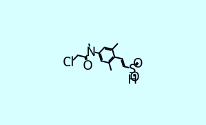 Cc1cc(N(C)C(=O)CCl)cc(C)c1/C=C/[SH](=O)=O